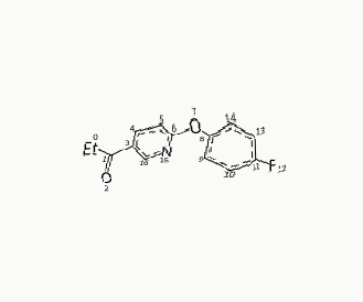 CCC(=O)c1ccc(Oc2ccc(F)cc2)nc1